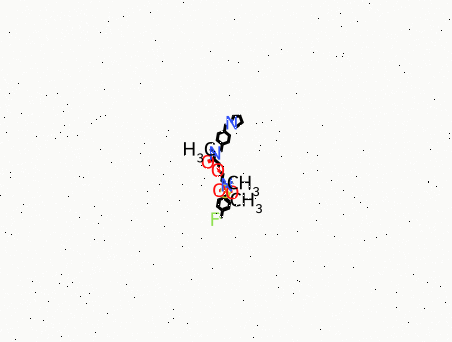 Cc1cc(CF)ccc1S(=O)(=O)N(C)CCOCC(=O)N(C)CC1CCC(CN2CCCC2)CC1